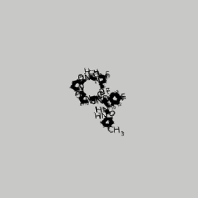 Cc1ccc(NC(=O)N[C@@H](Cc2cc(F)cc(F)c2)C(=O)N[C@H]2COCC3C[C@@H](F)CN3C(=O)[C@H](C)NC(=O)C3CCCCN3C(=O)C3CCCN3C2=O)cc1